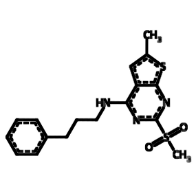 Cc1cc2c(NCCCc3ccccc3)nc(S(C)(=O)=O)nc2s1